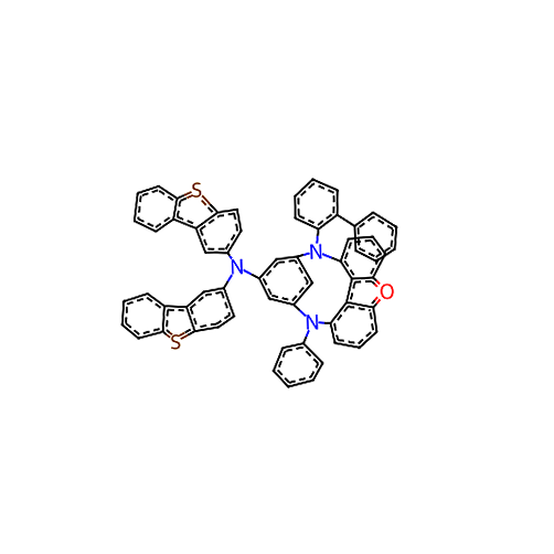 c1ccc(-c2ccccc2N2c3cc(N(c4ccc5sc6ccccc6c5c4)c4ccc5sc6ccccc6c5c4)cc(c3)N(c3ccccc3)c3cccc4oc5cccc2c5c34)cc1